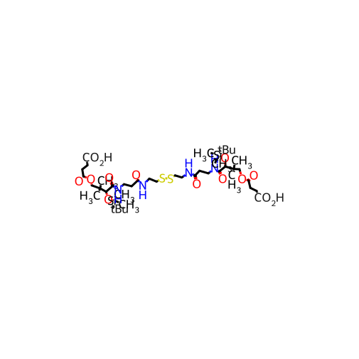 CC(C)(COC(=O)CCC(=O)O)C(O[Si](C)(C)C(C)(C)C)C(=O)NCCC(=O)NCCSSCCNC(=O)CCNC(=O)C(O[Si](C)(C)C(C)(C)C)C(C)(C)COC(=O)CCC(=O)O